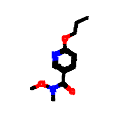 CCCOc1ccc(C(=O)N(C)OC)cn1